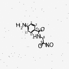 Nc1ccc(C(=O)NCC(=O)N=O)cc1